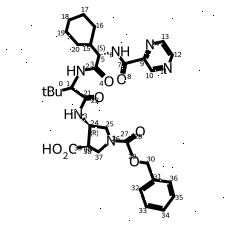 CC(C)(C)C(NC(=O)[C@@H](NC(=O)c1cnccn1)C1CCCCC1)C(=O)N[C@H]1CN(C(=O)OCc2ccccc2)C[C@H]1C(=O)O